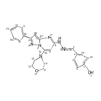 Oc1ccc(C=NNc2cc(N3CCOCC3)n3nc(-c4ccccc4)cc3n2)cc1